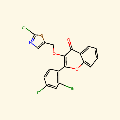 O=c1c(OCc2cnc(Cl)s2)c(-c2ccc(F)cc2Br)oc2ccccc12